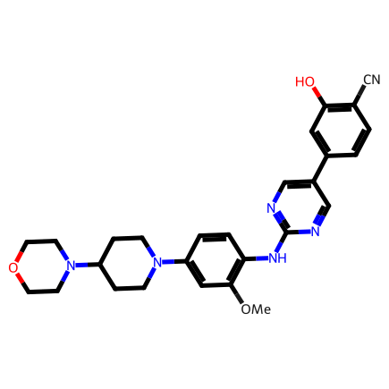 COc1cc(N2CCC(N3CCOCC3)CC2)ccc1Nc1ncc(-c2ccc(C#N)c(O)c2)cn1